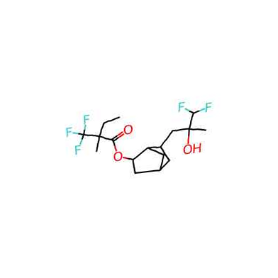 CCC(C)(C(=O)OC1CC2CC(CC(C)(O)C(F)F)C1C2)C(F)(F)F